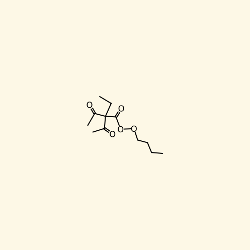 CCCCOOC(=O)C(CC)(C(C)=O)C(C)=O